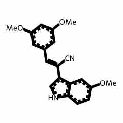 COc1cc(/C=C(\C#N)c2c[nH]c3ccc(OC)cc23)cc(OC)c1